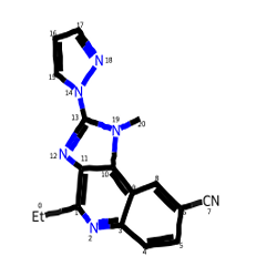 CCc1nc2ccc(C#N)cc2c2c1nc(-n1cccn1)n2C